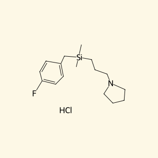 C[Si](C)(CCCN1CCCC1)Cc1ccc(F)cc1.Cl